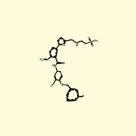 C=Nc1ccc(-c2ccc(CNCCS(C)(=O)=O)o2)cc1C(=N)NC1C=C(Cl)C(OCc2cccc(F)c2)=CC1